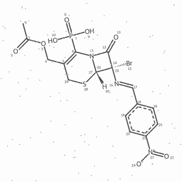 CC(=O)OCC1=C(P(=O)(O)O)N2C(=O)[C@@](Br)(N=Cc3ccc([N+](=O)[O-])cc3)[C@@H]2SC1